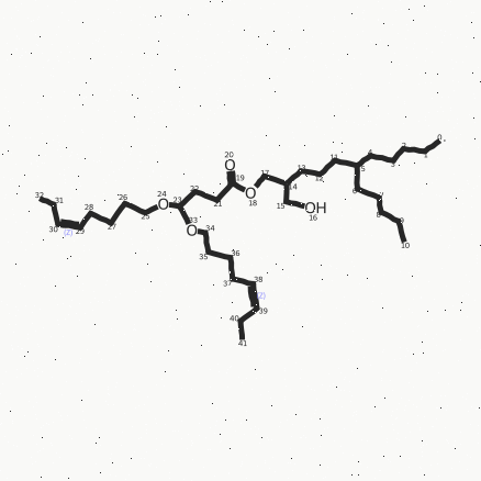 [CH2]CCCCC(CCCCC)CCCC(CO)COC(=O)CCC(OCCCC/C=C\CC)OCCCC/C=C\CC